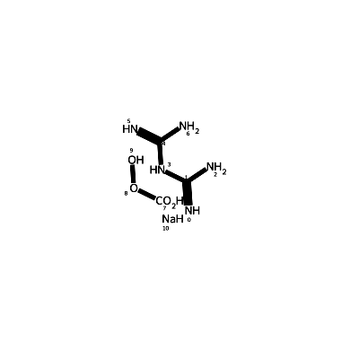 N=C(N)NC(=N)N.O=C(O)OO.[NaH]